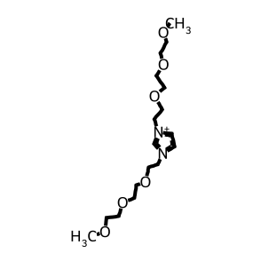 COCCOCCOCCn1cc[n+](CCOCCOCCOC)c1